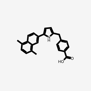 Cc1ccc(C)c2cc(-c3ccc(Cc4ccc(C(=O)O)cc4)[nH]3)ccc12